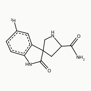 [2H]c1ccc2c(c1)C1(CNC(C(N)=O)C1)C(=O)N2